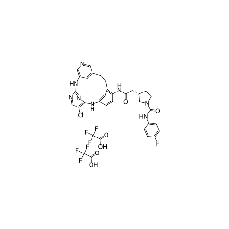 O=C(C[C@@H]1CCN(C(=O)Nc2ccc(F)cc2)C1)Nc1ccc2cc1CCc1cncc(c1)Nc1ncc(Cl)c(n1)N2.O=C(O)C(F)(F)F.O=C(O)C(F)(F)F